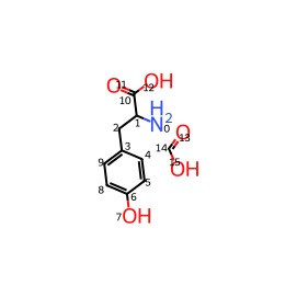 NC(Cc1ccc(O)cc1)C(=O)O.O=CO